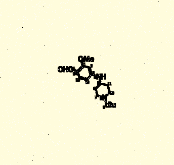 COc1cc(NC2CCN(C(C)(C)C)CC2)ccc1C=O